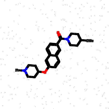 COC1CCN(C(=O)c2ccc3cc(OC4CCN(C(C)C)CC4)ccc3c2)CC1